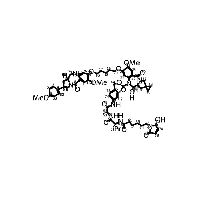 COc1ccc(C2=CN3C(=O)c4cc(OC)c(OCCCCCOc5cc6c(cc5OC)C(=O)N5CC7(CC7)C[C@H]5[C@H](O)N6C(=O)OCc5ccc(NC(=O)[C@H](C)NC(=O)[C@@H](NC(=O)CCCCCN6C(=O)C=CC6O)C(C)C)cc5)cc4NC[C@@H]3C2)cc1